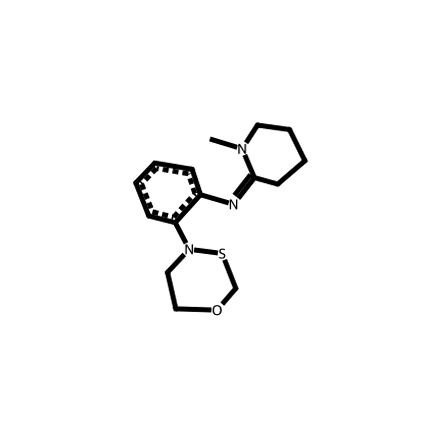 CN1CCCCC1=Nc1ccccc1N1CCOCS1